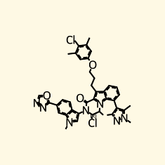 Cc1cc(OCCCc2c3n(c4c(-c5c(C)nn(C)c5C)cccc24)C(C)[C@@H](Cl)N(c2cn(C)c4cc(-c5nnco5)ccc24)C3=O)cc(C)c1Cl